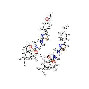 CCOc1ccc(-c2csc(N3CCN(S(=O)(=O)c4c(C(C)C)cc(C(C)C)cc4C(C)C)CC3)n2)cc1.CCc1ccc(-c2csc(N3CCN(S(=O)(=O)c4c(C(C)C)cc(C(C)C)cc4C(C)C)CC3)n2)cc1